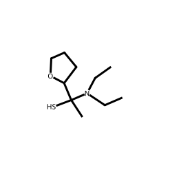 CCN(CC)C(C)(S)C1CCCO1